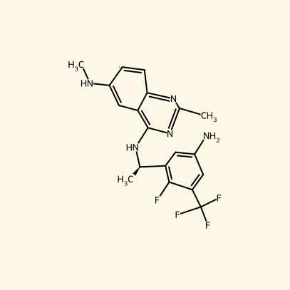 CNc1[c]cc2nc(C)nc(N[C@H](C)c3cc(N)cc(C(F)(F)F)c3F)c2c1